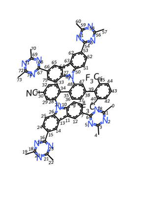 Cc1nc(C)nc(-c2ccc3c(c2)c2cc(-c4nc(C)nc(C)n4)ccc2n3-c2cc(C#N)ccc2-c2ccc(-c3c(C(F)(F)F)cccc3C(F)(F)F)cc2-n2c3ccc(-c4nc(C)nc(C)n4)cc3c3cc(-c4nc(C)nc(C)n4)ccc32)n1